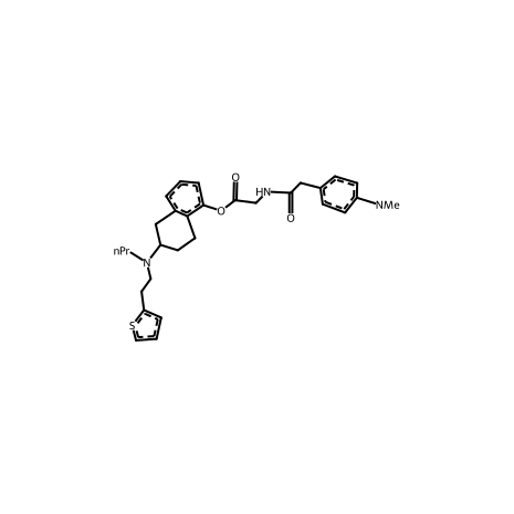 CCCN(CCc1cccs1)C1CCc2c(cccc2OC(=O)CNC(=O)Cc2ccc(NC)cc2)C1